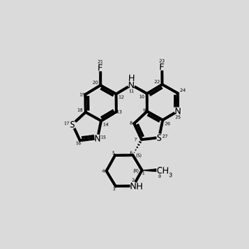 C[C@H]1NCCC[C@@H]1c1cc2c(Nc3cc4ncsc4cc3F)c(F)cnc2s1